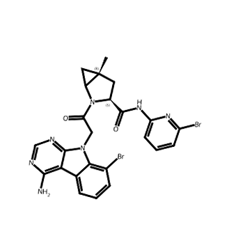 C[C@]12CC1N(C(=O)Cn1c3ncnc(N)c3c3cccc(Br)c31)[C@H](C(=O)Nc1cccc(Br)n1)C2